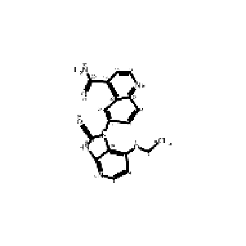 CCOc1ccnc2[nH]c(=O)n(-c3ccc4nccc(C(N)=O)c4c3)c12